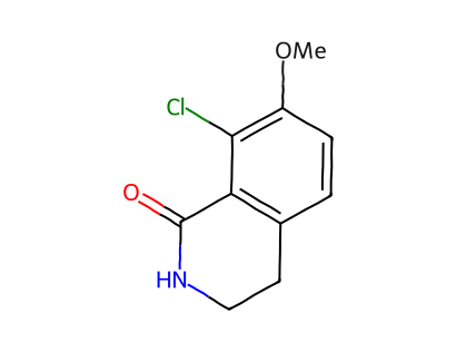 COc1ccc2c(c1Cl)C(=O)NCC2